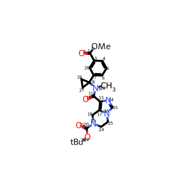 COC(=O)c1cccc(C2(N(C)C(=O)c3ncn4c3CN(C(=O)OC(C)(C)C)CC4)CC2)c1